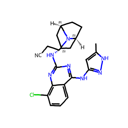 Cc1cc(Nc2nc(N[C@@H]3C[C@H]4CC[C@@H](C3)N4CCC#N)nc3c(Cl)cccc23)n[nH]1